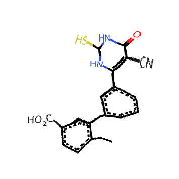 Cc1ccc(C(=O)O)cc1-c1cccc(C2=C(C#N)C(=O)NC(S)N2)c1